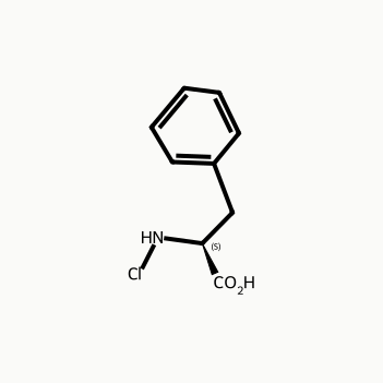 O=C(O)[C@H](Cc1ccccc1)NCl